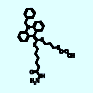 NNC(=O)CCCCCSC(SCCCSOOO)=C1c2ccccc2N(Cc2ccccc2)c2ccccc21